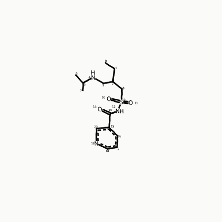 CCC(CNC(C)C)CS(=O)(=O)NC(=O)c1cccnc1